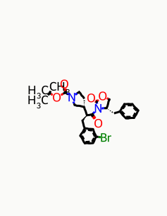 CC(C)(C)OC(=O)N1CC[C@H]([C@H](Cc2cccc(Br)c2)C(=O)N2C(=O)OC[C@@H]2Cc2ccccc2)C1